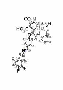 O=C(O)c1cc(C(=O)O)c(C(=O)N(Cc2cccc(/C=N/OCc3c(F)c(F)c(F)c(F)c3F)c2)[C@H]2CCCc3ccccc32)cc1C(=O)O